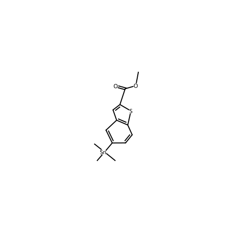 COC(=O)c1cc2c[c]([Sn]([CH3])([CH3])[CH3])ccc2s1